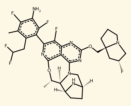 Cc1c(F)c(N)c(F)c(-c2nc3c4c(nc(OC[C@@]56CCCN5C[C@H](F)C6)nc4c2F)N2C[C@H]4CC[C@H](N4)[C@H]2[C@H](C)O3)c1CC(F)F